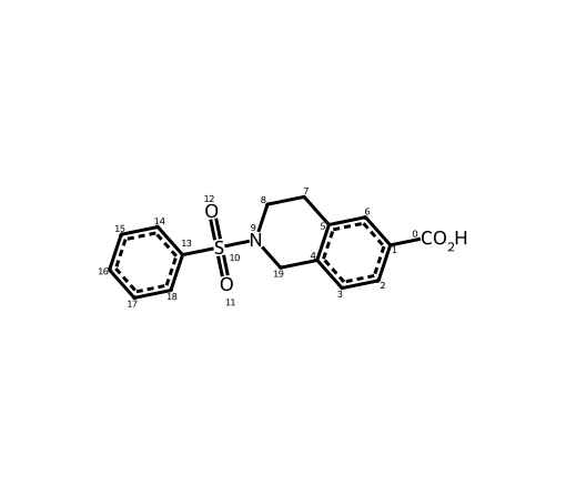 O=C(O)c1ccc2c(c1)CCN(S(=O)(=O)c1ccccc1)C2